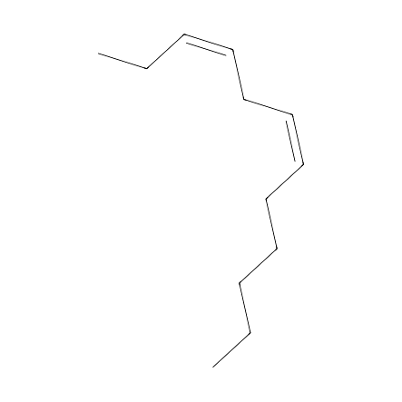 CC/C=C\C/C=C\CCCCC